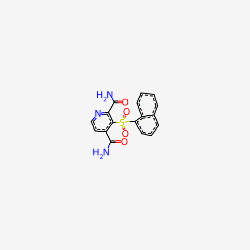 NC(=O)c1ccnc(C(N)=O)c1S(=O)(=O)c1cccc2ccccc12